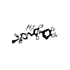 CC1=C(CCN2CCN(S(=O)(=O)C3CC3)CC2)C(=O)N(c2ccc(C#N)c(C(F)(F)F)c2)C1=O